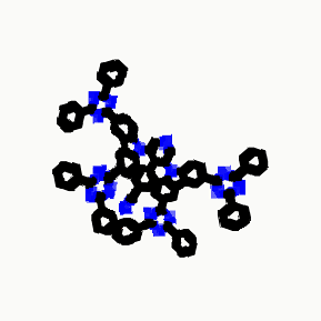 N#Cc1ccc(-c2c(-n3c4ccc(-c5nc(-c6ccccc6)nc(-c6ccccc6)n5)cc4c4cc(-c5nc(-c6ccccc6)nc(-c6ccccc6)n5)ccc43)cncc2-n2c3ccc(-c4nc(-c5ccccc5)nc(-c5ccccc5)n4)cc3c3cc(-c4nc(-c5ccccc5)nc(-c5ccccc5)n4)ccc32)cc1